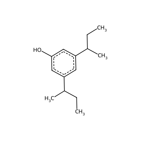 CCC(C)c1cc(O)cc(C(C)CC)c1